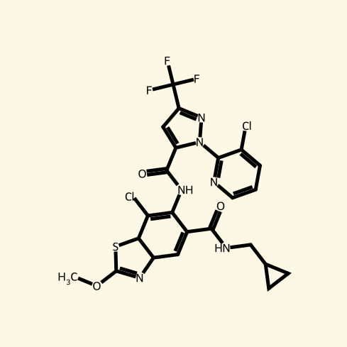 COC1=NC2C=C(C(=O)NCC3CC3)C(NC(=O)c3cc(C(F)(F)F)nn3-c3ncccc3Cl)=C(Cl)C2S1